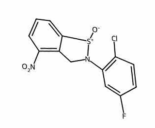 O=[N+]([O-])c1cccc2c1CN(c1cc(F)ccc1Cl)[S+]2[O-]